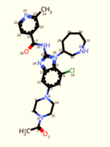 CC(=O)N1CCN(c2cc(Cl)c3c(c2)nc(NC(=O)c2ccnc(C)c2)n3C2CCCCNC2)CC1